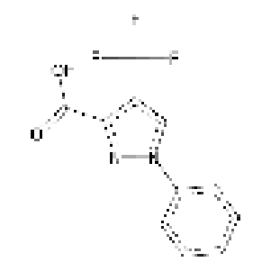 O=C(O)c1nn(-c2ccccc2)cc1C(F)(F)F